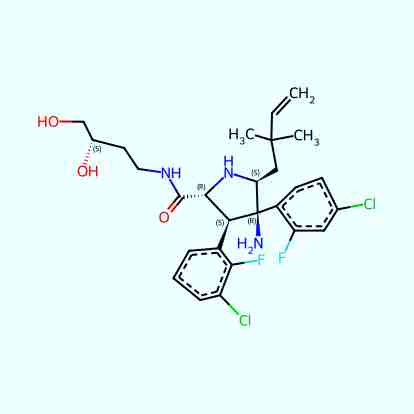 C=CC(C)(C)C[C@@H]1N[C@@H](C(=O)NCC[C@H](O)CO)[C@H](c2cccc(Cl)c2F)[C@@]1(N)c1ccc(Cl)cc1F